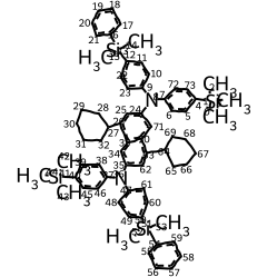 C[Si](C)(C)c1ccc(N(c2ccc([Si](C)(C)c3ccccc3)cc2)c2cc(C3CCCCC3)c3cc(N(c4ccc([Si](C)(C)C)cc4)c4ccc([Si](C)(C)c5ccccc5)cc4)cc(C4CCCCC4)c3c2)cc1